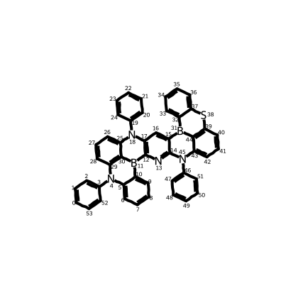 c1ccc(N2c3ccccc3B3c4nc5c(cc4N(c4ccccc4)c4cccc2c43)B2c3ccccc3Sc3cccc(c32)N5c2ccccc2)cc1